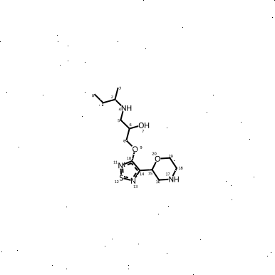 CCC(C)NCC(O)COc1nsnc1C1CNCCO1